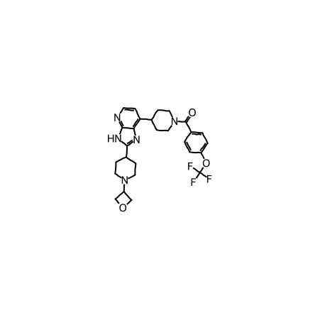 O=C(c1ccc(OC(F)(F)F)cc1)N1CCC(c2ccnc3[nH]c(C4CCN(C5COC5)CC4)nc23)CC1